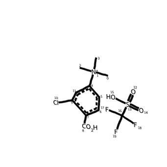 C[N+](C)(C)c1ccc(C(=O)O)c(Cl)c1.O=S(=O)(O)C(F)(F)F